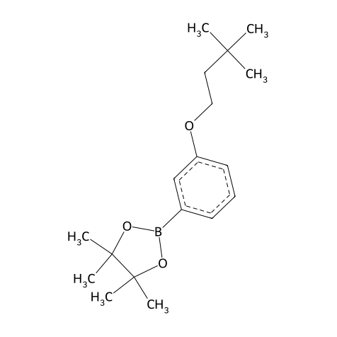 CC(C)(C)CCOc1cccc(B2OC(C)(C)C(C)(C)O2)c1